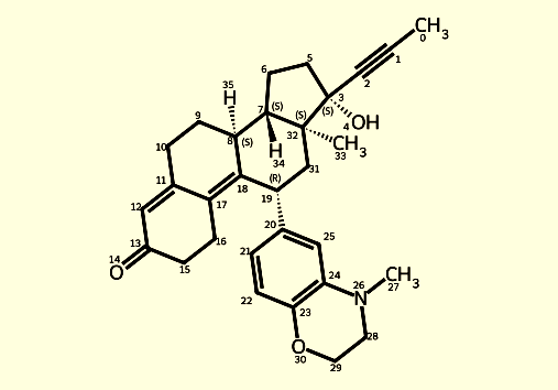 CC#C[C@]1(O)CC[C@H]2[C@@H]3CCC4=CC(=O)CCC4=C3[C@@H](c3ccc4c(c3)N(C)CCO4)C[C@@]21C